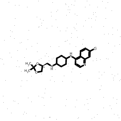 CC1(C)OC[C@H](CNC2CCC(Nc3ccnc4cc(Cl)ccc34)CC2)O1